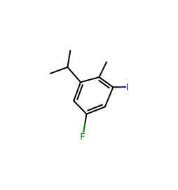 Cc1c(I)cc(F)cc1C(C)C